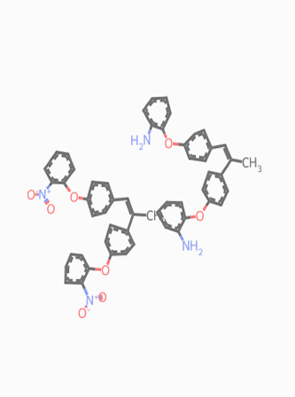 CC(=Cc1ccc(Oc2ccccc2N)cc1)c1ccc(Oc2ccccc2N)cc1.CC(=Cc1ccc(Oc2ccccc2[N+](=O)[O-])cc1)c1ccc(Oc2ccccc2[N+](=O)[O-])cc1